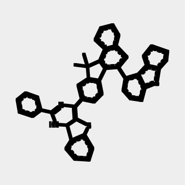 CC1(C)c2cc(C3=C4Sc5ccccc5C4NC(c4ccccc4)=N3)ccc2-c2c(-c3cccc4sc5ccccc5c34)cc3ccccc3c21